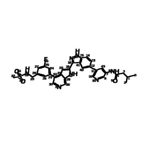 CC(C)CC(=O)Nc1cncc(-c2ccc3[nH]nc(-c4cc5c(-c6cc(F)cc(CNS(C)(=O)=O)c6)cncc5[nH]4)c3c2)c1